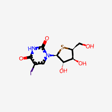 O=c1[nH]c(=O)n([C@H]2S[C@@H](CO)[C@@H](O)[C@@H]2O)cc1I